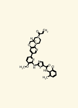 C=CC(=O)N1CCN2c3ncc(-c4ccc(OC)c(Nc5ncc(C(=O)Nc6c(C)cccc6Cl)s5)n4)cc3OC[C@@H]2C1